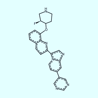 F[C@H]1CNCCC1Oc1cccc2ccc(-c3cnc4cc(-c5cncnc5)ccn34)nc12